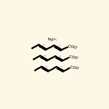 C/C=C/C=C/C(=O)[O-].C/C=C/C=C/C(=O)[O-].C/C=C/C=C/C(=O)[O-].[Nd+3]